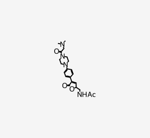 CC(=O)NCC1C=C(c2ccc(N3CCN(C(=O)CN(C)C)CC3)cc2)C(=O)O1